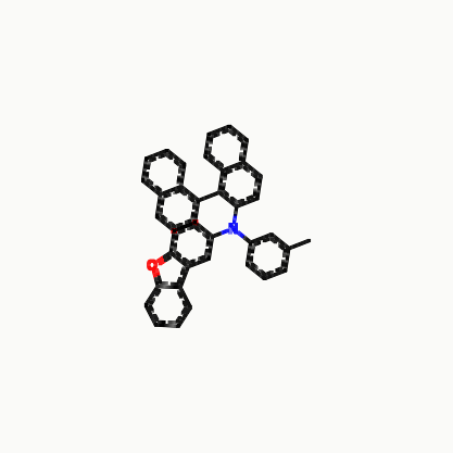 Cc1cccc(N(c2ccc3oc4ccccc4c3c2)c2ccc3ccccc3c2-c2cccc3ccccc23)c1